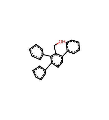 OCc1c(-c2ccccc2)ccc(-c2ccccc2)c1-c1ccccc1